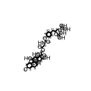 C[C@]12C=CC(=O)C=C1CC[C@H]1[C@@H]3C[C@@H](O)[C@](O)(C(=O)COC(=O)CNC(=O)Oc4ccc(CC(CON(O)O)ON(O)O)cc4)[C@@]3(C)C[C@H](O)[C@@]12F